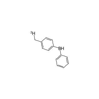 [2H]Cc1ccc(Bc2ccccc2)cc1